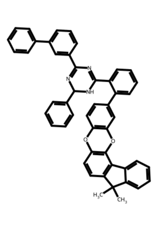 CC1(C)c2ccccc2-c2c1ccc1c2Oc2cc(-c3ccccc3C3=NC(c4cccc(-c5ccccc5)c4)=NC(c4ccccc4)N3)ccc2O1